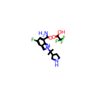 CC(C)(C1CCNC1)n1cc2cc(F)cc(C(N)=O)c2n1.O=C(O)C(F)(F)F